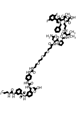 CCCNC(=O)Nc1cccc(S(=O)(=O)Nc2cccc([C@@H](CC(=O)O)NC(=O)Nc3ccc(NC(=O)NCCOCCOCCOCCC(=O)N[C@@H](CC(N)=O)C(=O)N4CCC[C@H]4C(=O)N[C@H](C(=O)NCCCN(C(=O)CO)[C@@H](c4cc(-c5cc(F)ccc5F)cn4Cc4ccccc4)C(C)(C)C)C(C)C)cc3)c2)c1